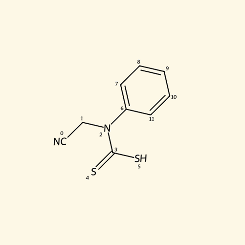 N#CCN(C(=S)S)c1ccccc1